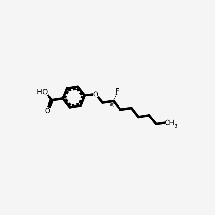 CCCCCC[C@@H](F)COc1ccc(C(=O)O)cc1